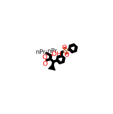 CCCC1(CCC)OC(=O)C(C(c2cccc(CS(=O)(=O)c3ccccc3)c2)C2CC2)=C1O